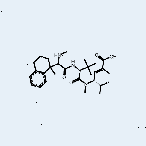 CN[C@@H](C(=O)N[C@H](C(=O)N(C)[C@H](/C=C(\C)C(=O)O)C(C)C)C(C)(C)C)C1(C)CCCc2ccccc21